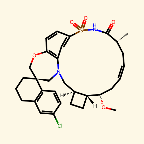 CO[C@H]1C/C=C\C[C@@H](C)C(=O)NS(=O)(=O)c2ccc3c(c2)N(C[C@@H]2CC[C@H]21)C[C@@]1(CCCc2cc(Cl)ccc21)CO3